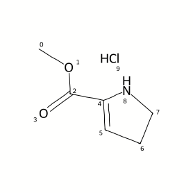 COC(=O)C1=CCCN1.Cl